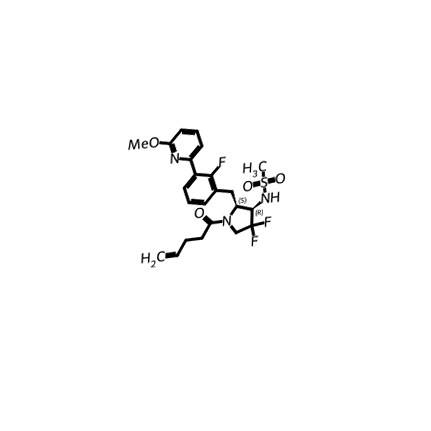 C=CCCC(=O)N1CC(F)(F)[C@H](NS(C)(=O)=O)[C@@H]1Cc1cccc(-c2cccc(OC)n2)c1F